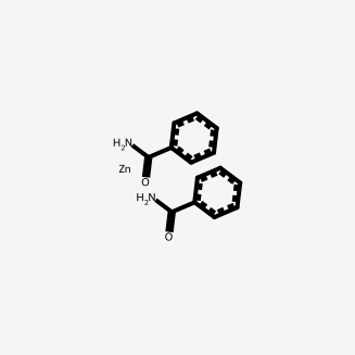 NC(=O)c1ccccc1.NC(=O)c1ccccc1.[Zn]